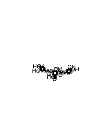 O=CC1(O)CC(OC(=O)/C=C/c2ccc(O)c(O)c2)C(O)C(OC(=O)/C=C/c2ccc(O)c(O)c2)C1